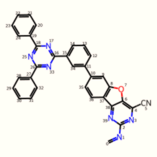 C=Nc1nc(C#N)c2oc3cc(-c4cccc(-c5nc(-c6ccccc6)nc(-c6ccccc6)n5)c4)ccc3c2n1